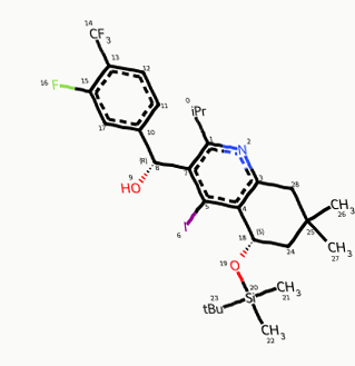 CC(C)c1nc2c(c(I)c1[C@H](O)c1ccc(C(F)(F)F)c(F)c1)[C@@H](O[Si](C)(C)C(C)(C)C)CC(C)(C)C2